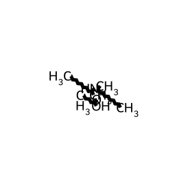 CCCCCC(=O)O.CCCCCCCCCC(C)NC(C)CCCCCCCCC